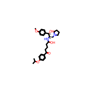 COc1ccc([C@@H](O)[C@@H](CN2CCCC2)NC(O)CCCC(=O)c2ccc(OC(C)C)cc2)cc1